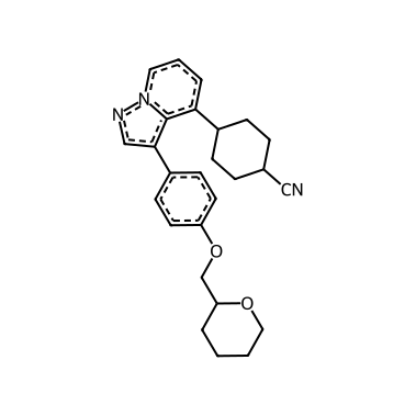 N#CC1CCC(c2cccn3ncc(-c4ccc(OCC5CCCCO5)cc4)c23)CC1